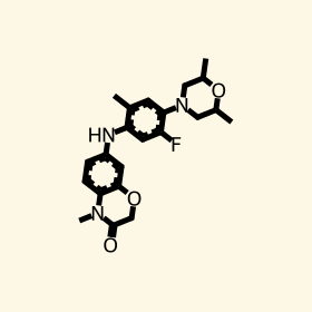 Cc1cc(N2CC(C)OC(C)C2)c(F)cc1Nc1ccc2c(c1)OCC(=O)N2C